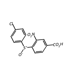 O=C(O)c1ccc([S+]([O-])c2ccc(Cl)cc2)c([N+](=O)[O-])c1